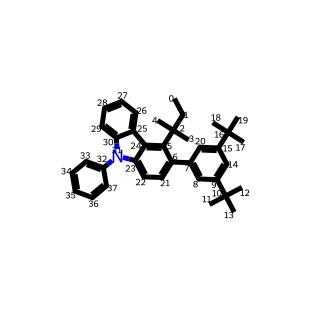 CCC(C)(C)c1c(-c2cc(C(C)(C)C)cc(C(C)(C)C)c2)ccc2c1c1ccccc1n2-c1ccccc1